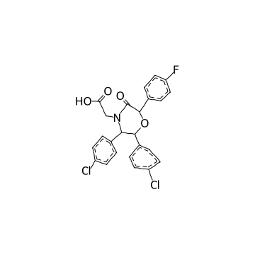 O=C(O)CN1C(=O)C(c2ccc(F)cc2)OC(c2ccc(Cl)cc2)C1c1ccc(Cl)cc1